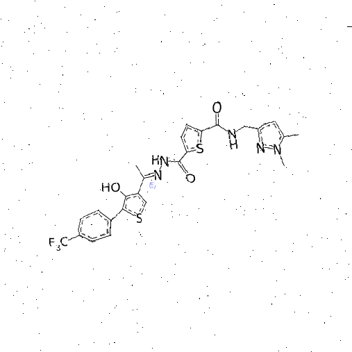 C/C(=N\NC(=O)c1ccc(C(=O)NCc2cc(C)n(C)n2)s1)c1csc(-c2ccc(C(F)(F)F)cc2)c1O